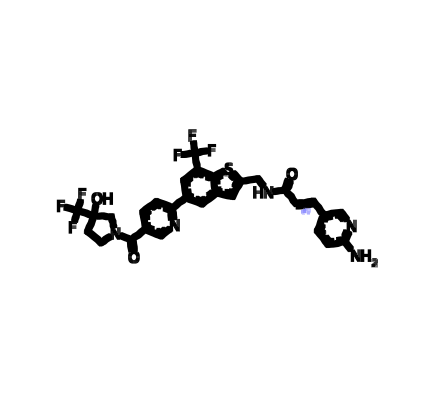 Nc1ccc(/C=C/C(=O)NCc2cc3cc(-c4ccc(C(=O)N5CCC(O)(C(F)(F)F)C5)cn4)cc(C(F)(F)F)c3s2)cn1